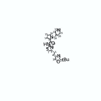 CC(C)(C)c1nc(C=Cc2csc(NC(=O)c3cccn3Cc3ccncc3)n2)co1